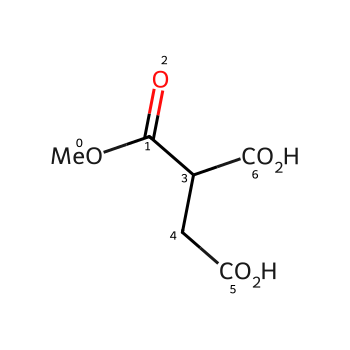 COC(=O)C(CC(=O)O)C(=O)O